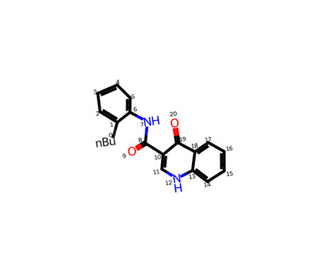 CCCCc1ccccc1NC(=O)c1c[nH]c2ccccc2c1=O